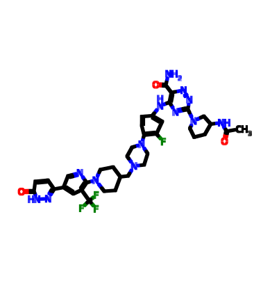 CC(=O)NC1CCCN(c2nnc(C(N)=O)c(Nc3ccc(N4CCN(CC5CCN(c6ncc(-c7ccc(=O)[nH]n7)cc6C(F)(F)F)CC5)CC4)c(F)c3)n2)C1